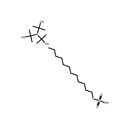 CC(C)(O)N(C(C)(C)O)C(C)(C)O.CCCCCCCCCCCCOS(=O)(=O)O